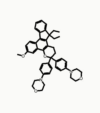 CCC1(CC)c2ccccc2-c2c1c1c(c3cc(OC)ccc23)OC(c2ccc(N3CCOCC3)cc2)(c2ccc(N3CCOCC3)cc2)CC1